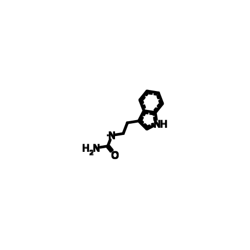 NC(=O)[N]CCc1c[nH]c2ccccc12